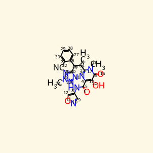 C[C@H](c1nc(C(=O)Nc2cnoc2)c(O)c(=O)n1C)[C@@H](c1nnn(C)n1)c1ccccc1C#N